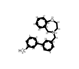 Cc1cccc(-c2cccc(CN3CCOc4ccccc4C3)c2)c1